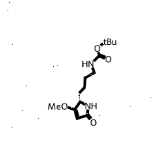 COC1=CC(=O)N[C@H]1CCCCNC(=O)OC(C)(C)C